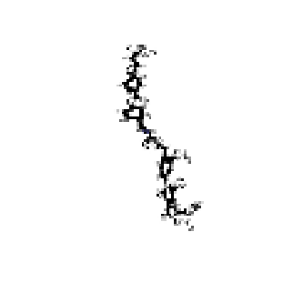 Cc1cc(N2C(=O)C3C4C(=O)N(C)C(=O)C4C3C2=O)ccc1CCOC(=O)/C=C/c1ccc(OC(=O)c2ccc(OCCCC(F)(F)F)cc2)cc1